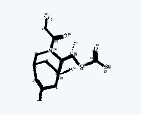 CC1CC2C[C@@H](C1)C([C@H](C)OC(=O)C(C)(C)C)N(C(=O)CC(F)(F)F)C2